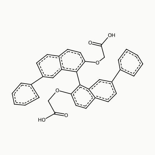 O=C(O)COc1ccc2ccc(-c3ccccc3)cc2c1-c1c(OCC(=O)O)ccc2ccc(-c3ccccc3)cc12